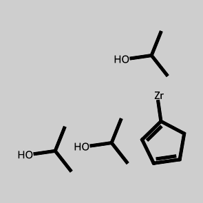 CC(C)O.CC(C)O.CC(C)O.[Zr][C]1=CC=CC1